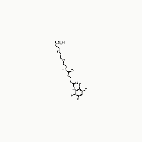 O=C(O)CCOCCOCCNC(=O)CCCC(=O)Oc1c(F)c(F)cc(F)c1F